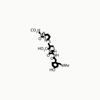 CNCc1cc(O)ccc1CC(=O)NC1C(=O)N2C(C(=O)O)=C(CSc3ccc4nn(CC(=O)O)c(=O)n4n3)CS[C@@H]12